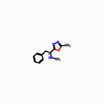 CN[C@@H](Cc1ccccc1)c1nnc(C)o1